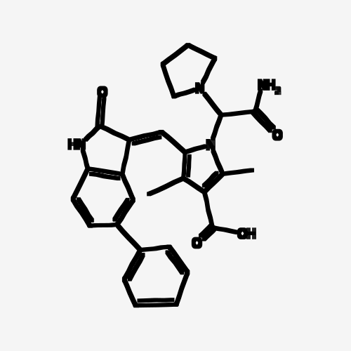 Cc1c(C(=O)O)c(C)n(C(C(N)=O)N2CCCC2)c1C=C1C(=O)Nc2ccc(-c3ccccc3)cc21